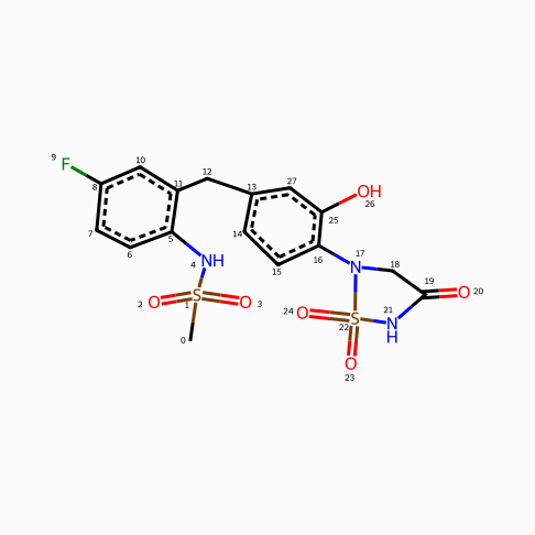 CS(=O)(=O)Nc1ccc(F)cc1Cc1ccc(N2CC(=O)NS2(=O)=O)c(O)c1